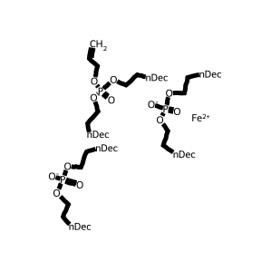 C=CCOP(=O)(OCCCCCCCCCCCC)OCCCCCCCCCCCC.CCCCCCCCCCCCOP(=O)([O-])OCCCCCCCCCCCC.CCCCCCCCCCCCOP(=O)([O-])OCCCCCCCCCCCC.[Fe+2]